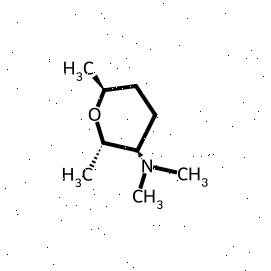 C[C@@H]1O[C@@H](C)CC[C@@H]1N(C)C